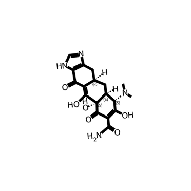 CN(C)[C@@H]1C(O)=C(C(N)=O)C(=O)[C@@]2(O)C(O)=C3C(=O)c4[nH]cnc4C[C@H]3C[C@@H]12